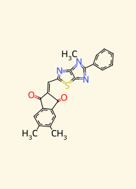 Cc1cc2c(cc1C)C(=O)C(=Cc1nc3c(nc(-c4ccccc4)n3C)s1)C2=O